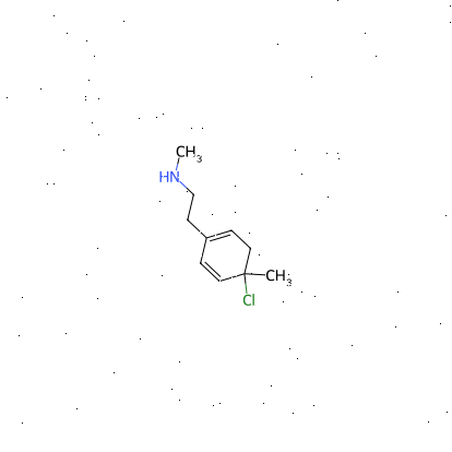 CNCCC1=CCC(C)(Cl)C=C1